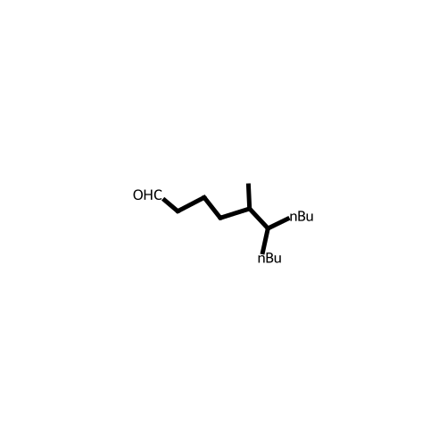 CCCCC(CCCC)C(C)CCCC=O